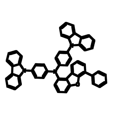 c1ccc(-c2cccc3c2oc2cccc(N(c4ccc(-n5c6ccccc6c6ccccc65)cc4)c4ccc(-n5c6ccccc6c6ccccc65)cc4)c23)cc1